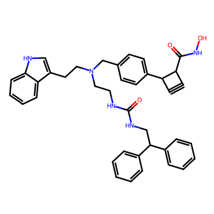 O=C(NCCN(CCc1c[nH]c2ccccc12)Cc1ccc(C2C#CC2C(=O)NO)cc1)NCC(c1ccccc1)c1ccccc1